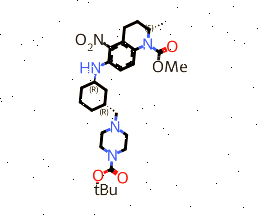 COC(=O)N1c2ccc(N[C@@H]3CCC[C@@H](CN4CCN(C(=O)OC(C)(C)C)CC4)C3)c([N+](=O)[O-])c2CC[C@@H]1C